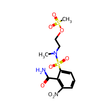 CN(CCOS(C)(=O)=O)S(=O)(=O)c1cccc([N+](=O)[O-])c1C(N)=O